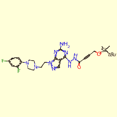 CC(C)(C)[Si](C)(C)OCC#CC(=O)NNc1nc(N)nc2c1cnn2CCN1CCN(c2ccc(F)cc2F)CC1